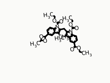 CCOC(=O)c1ccc2c(c1)c(C)c(Cc1c(C)c3cc(C4OC(C)O4)ccc3n1C(=O)OCC)n2C(=O)OCC